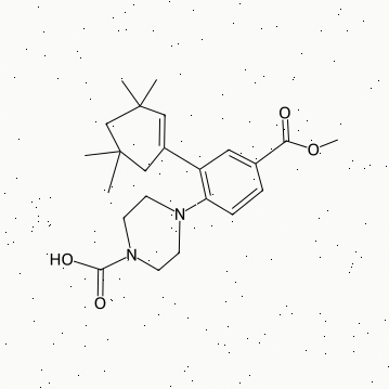 COC(=O)c1ccc(N2CCN(C(=O)O)CC2)c(C2=CC(C)(C)CC(C)(C)C2)c1